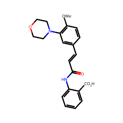 COc1ccc(/C=C/C(=O)Nc2ccccc2C(=O)O)cc1N1CCOCC1